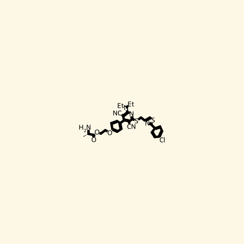 CCN(CC)c1nc(SCc2csc(-c3ccc(Cl)cc3)n2)c(C#N)c(-c2ccc(OCCOC(=O)[C@H](C)N)cc2)c1C#N